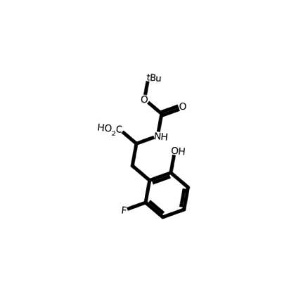 CC(C)(C)OC(=O)NC(Cc1c(O)cccc1F)C(=O)O